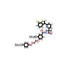 COc1ccc(COCCOc2ccc(C(=O)NCC3(c4cccc(-c5csc6c(F)cccc56)n4)COC3)cc2OC)cc1